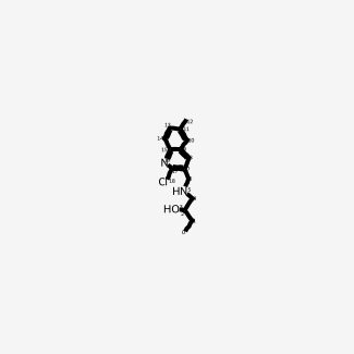 CCC(O)CNCc1cc2cc(C)ccc2nc1Cl